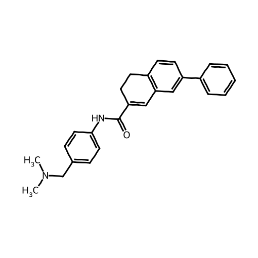 CN(C)Cc1ccc(NC(=O)C2=Cc3cc(-c4ccccc4)ccc3CC2)cc1